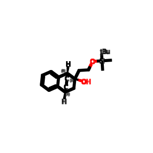 CC(C)(C)[Si](C)(C)OCC[C@]1(O)C[C@H]2CC[C@@H]1c1ccccc12